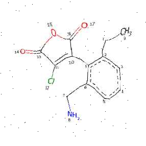 CCc1cccc(CN)c1C1=C(Cl)C(=O)OC1=O